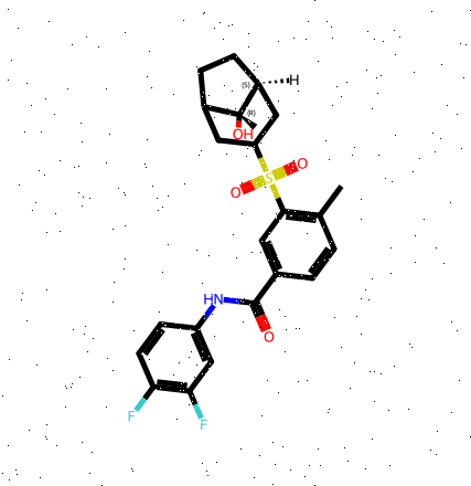 Cc1ccc(C(=O)Nc2ccc(F)c(F)c2)cc1S(=O)(=O)C1CC2CC[C@@H](C1)[C@]2(C)O